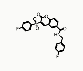 O=C(NCc1ccc(F)cc1)c1ccc2oc(=O)c(S(=O)(=O)c3ccc(F)cc3)cc2c1